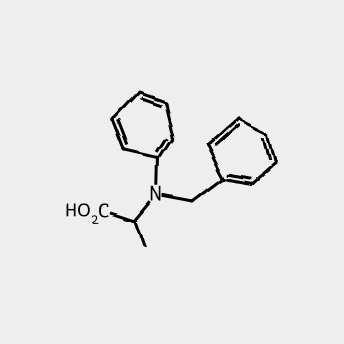 CC(C(=O)O)N(Cc1ccccc1)c1ccccc1